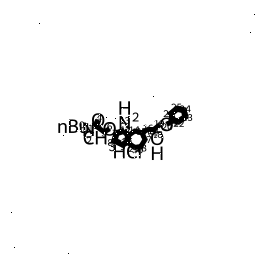 CCCCN(C)C(=O)COc1ccc2c(c1N)CC(C[C@H](O)COc1ccccc1)CCC2.Cl